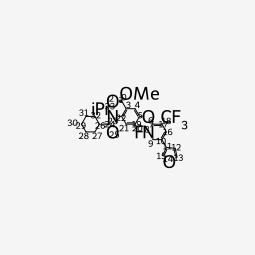 COC(=O)c1cc(Oc2ncc(-c3ccoc3)cc2C(F)(F)F)c(F)cc1N(C(=O)[C@H]1CC[C@H](C)CC1)C(C)C